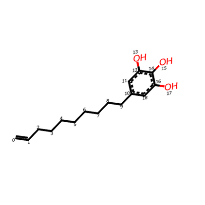 C=CCCCCCCCCc1cc(O)c(O)c(O)c1